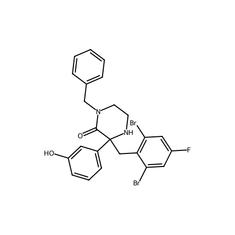 O=C1N(Cc2ccccc2)CCNC1(Cc1c(Br)cc(F)cc1Br)c1cccc(O)c1